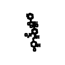 O=C1CCC(CNc2ccc(S(=O)(=O)NC(=O)c3cccnc3)cc2[N+](=O)[O-])CN1